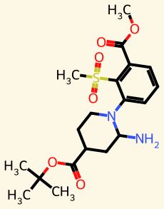 COC(=O)c1cccc(N2CCC(C(=O)OC(C)(C)C)CC2N)c1S(C)(=O)=O